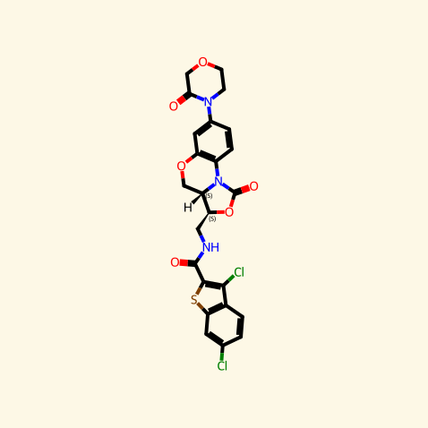 O=C(NC[C@@H]1OC(=O)N2c3ccc(N4CCOCC4=O)cc3OC[C@@H]12)c1sc2cc(Cl)ccc2c1Cl